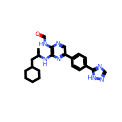 CC(CC1CCCCC1)Nc1nc(-c2ccc(-c3ncn[nH]3)cc2)cnc1NC=O